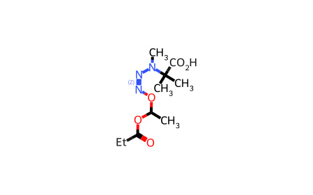 CCC(=O)OC(C)O/N=N\N(C)C(C)(C)C(=O)O